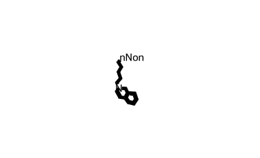 CCCCCCCCCCCCCCN1C=Cc2ccccc2C1